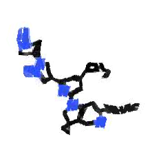 CC(=O)Nc1cc2c(cn1)C1(CC1)CN2c1cc(C)cc(-c2cnn(C3CNC3)c2)n1